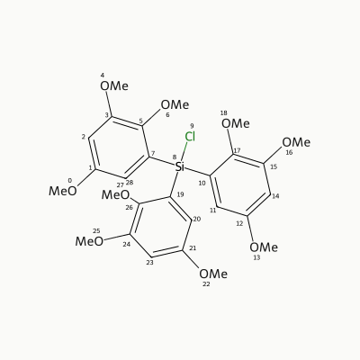 COc1cc(OC)c(OC)c([Si](Cl)(c2cc(OC)cc(OC)c2OC)c2cc(OC)cc(OC)c2OC)c1